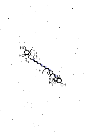 C\C(C=C=C1C(C)(C)C[C@H](O)C[C@@]1(C)O)=C/C=C/C=C/C=C(C)/C=C1C=C(/C=C/[C@@]23O[C@]2(C)C[C@@H](O)CC3(C)C)C(=O)O/1